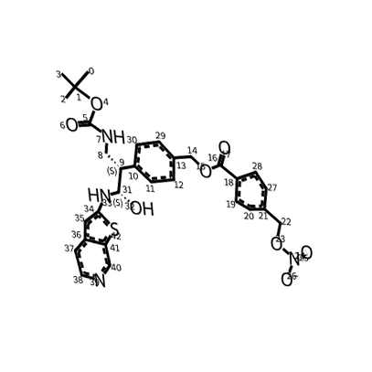 CC(C)(C)OC(=O)NC[C@H](c1ccc(COC(=O)c2ccc(CO[N+](=O)[O-])cc2)cc1)[C@H](O)Nc1cc2ccncc2s1